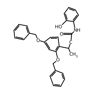 CC(CC(=O)Nc1ccccc1O)c1ccc(OCc2ccccc2)cc1OCc1ccccc1